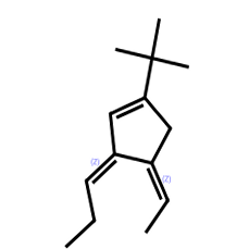 C/C=C1/CC(C(C)(C)C)=C/C1=C/CC